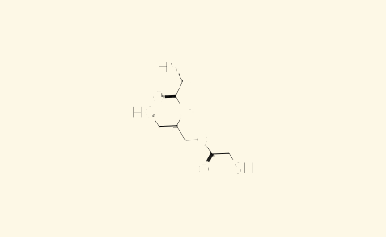 O=C(CS)OCC(CO)OC(=O)CS